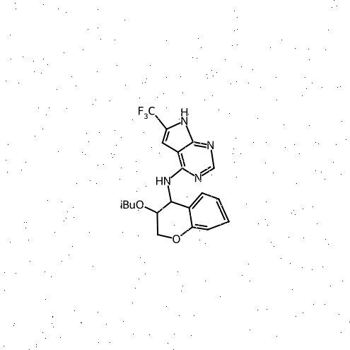 CC(C)COC1COc2ccccc2C1Nc1ncnc2[nH]c(C(F)(F)F)cc12